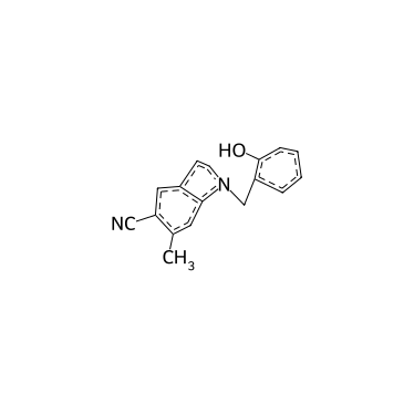 Cc1cc2c(ccn2Cc2ccccc2O)cc1C#N